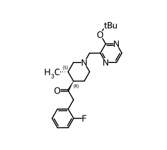 C[C@@H]1CN(Cc2nccnc2OC(C)(C)C)CC[C@H]1C(=O)Cc1ccccc1F